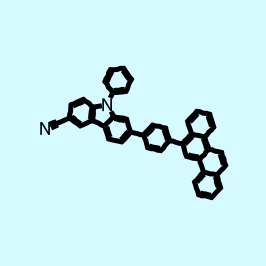 N#Cc1ccc2c(c1)c1ccc(-c3ccc(-c4cc5c6ccccc6ccc5c5ccccc45)cc3)cc1n2-c1ccccc1